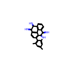 Cc1cc(C)c(-c2ccc3c4c2c(=N)c(=N)c2cccc(c2-4)c(=N)c3=N)c(C)c1